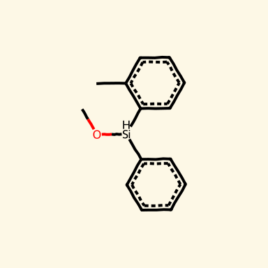 CO[SiH](c1ccccc1)c1ccccc1C